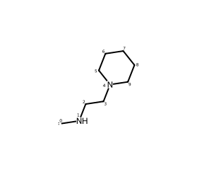 [CH]NCCN1CCCCC1